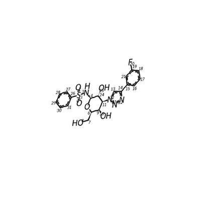 O=S(=O)(N[C@@H]1O[C@H](CO)[C@H](O)[C@H](n2cc(-c3cccc(F)c3)nn2)[C@H]1O)c1ccccc1